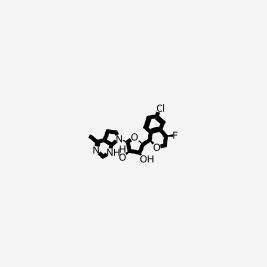 CC1=NCNC2C1CCN2[C@@H]1O[C@H]([C@@H]2OC[C@H](F)c3cc(Cl)ccc32)[C@@H](O)[C@H]1O